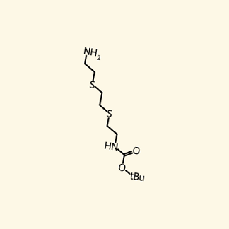 CC(C)(C)OC(=O)NCCSCCSCCN